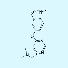 CN1Cc2ncnc(Oc3ccc4c(ccn4C)c3)c2C1